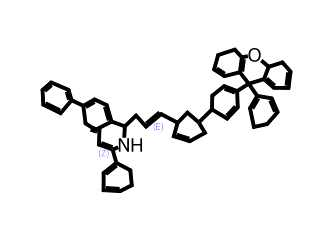 C=C/C=C(\NC(C/C=C/C1C=CCC(C2C=CC(C3(C4=CCCC=C4)C4=CC=CCC4OC4=C3C=CCC4)=CC2)C1)C1=CC=C(c2ccccc2)CC1)C1=CC=CCC1